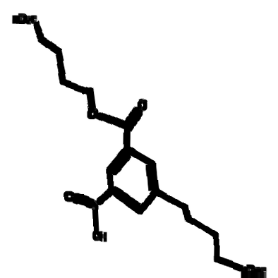 CCCCCCCCCCCCCCOC(=O)c1cc(CCCCCCCCCCCCCC)cc(S(=O)O)c1